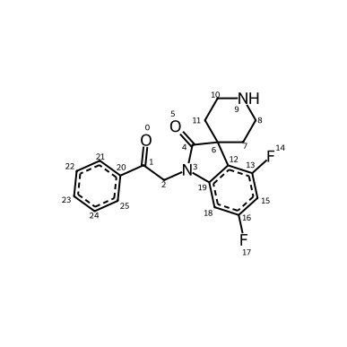 O=C(CN1C(=O)C2(CCNCC2)c2c(F)cc(F)cc21)c1ccccc1